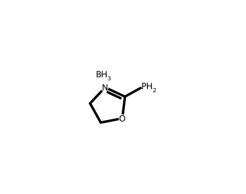 B.PC1=NCCO1